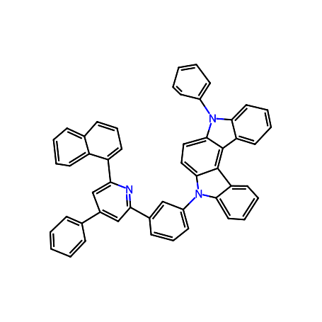 c1ccc(-c2cc(-c3cccc(-n4c5ccccc5c5c6c7ccccc7n(-c7ccccc7)c6ccc54)c3)nc(-c3cccc4ccccc34)c2)cc1